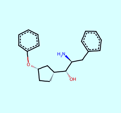 N[C@@H](Cc1ccccc1)[C@H](O)[C@@H]1CC[C@H](Oc2ccccc2)C1